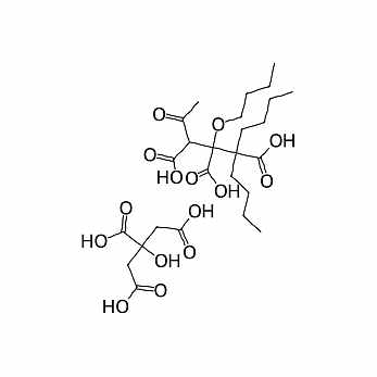 CCCCOC(C(=O)O)(C(C(C)=O)C(=O)O)C(CCCC)(CCCC)C(=O)O.O=C(O)CC(O)(CC(=O)O)C(=O)O